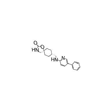 O=C1NC[C@]2(CC[C@@H](CNc3ccc(-c4ccccc4)cn3)CC2)O1